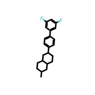 CC1CCC2CC(c3ccc(-c4cc(F)cc(F)c4)cc3)CCC2C1